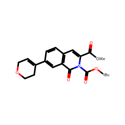 COC(=O)c1cc2ccc(C3=CCOCC3)cc2c(=O)n1C(=O)OC(C)(C)C